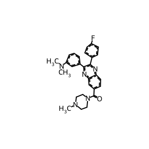 CN1CCN(C(=O)c2ccc3nc(-c4ccc(F)cc4)c(-c4cccc(N(C)C)c4)nc3c2)CC1